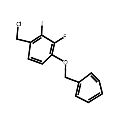 Fc1c(OCc2ccccc2)ccc(CCl)c1I